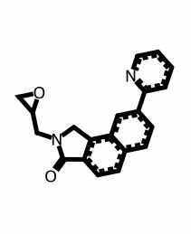 O=C1c2ccc3ccc(-c4ccccn4)cc3c2CN1CC1CO1